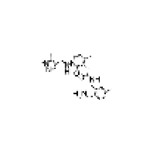 Cc1ccc(CN)c(CNC(=O)Cc2c(C)ccn(NCc3cnn(C)c3C)c2=O)c1